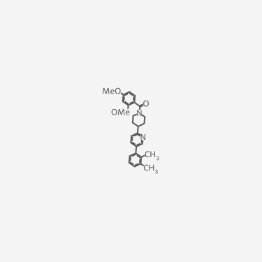 COc1ccc(C(=O)N2CCC(c3ccc(-c4cccc(C)c4C)cn3)CC2)c(OC)c1